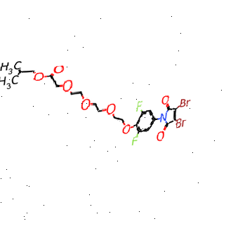 CC(C)COC(=O)COCCOCCOCCOc1c(F)cc(N2C(=O)C(Br)=C(Br)C2=O)cc1F